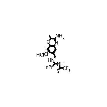 CCCC(NCc1ccc2c(c1)N=C(N)C(C)O2)NC(=S)C(F)(F)F.Cl.Cl